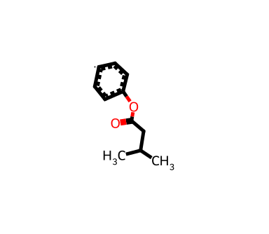 CC(C)CC(=O)Oc1cc[c]cc1